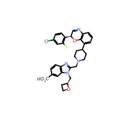 O=C(O)c1ccc2nc(CN3CCC(c4cccc5c4O[C@@H](c4ccc(Cl)cc4F)C=N5)CC3)n(C[C@@H]3CCO3)c2c1